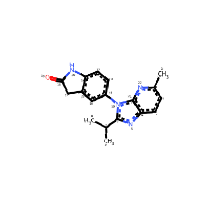 Cc1ccc2nc(C(C)C)n(-c3ccc4c(c3)CC(=O)N4)c2n1